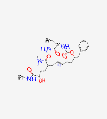 CC(C)C[C@H](NC(=O)OC(CC/C=C/CC(CCC(O)C(=O)NC(C)C)C(=O)N(C)C)Cc1ccccc1)C(N)=O